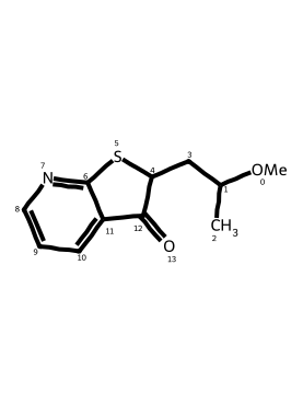 COC(C)CC1Sc2ncccc2C1=O